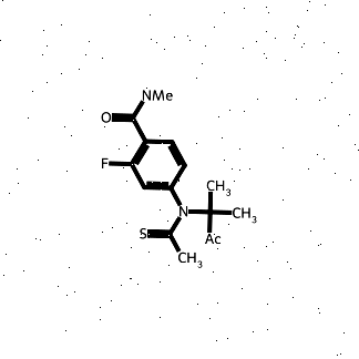 CNC(=O)c1ccc(N(C(C)=S)C(C)(C)C(C)=O)cc1F